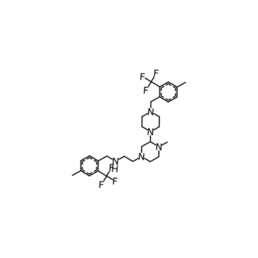 Cc1ccc(CNCCN2CCN(C)C(N3CCN(Cc4ccc(C)cc4C(F)(F)F)CC3)C2)c(C(F)(F)F)c1